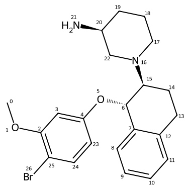 COc1cc(O[C@H]2c3ccccc3CC[C@@H]2N2CCC[C@H](N)C2)ccc1Br